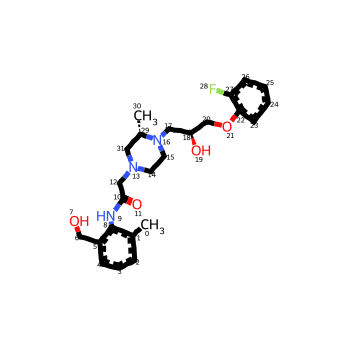 Cc1cccc(CO)c1NC(=O)CN1CCN(C[C@H](O)COc2ccccc2F)[C@@H](C)C1